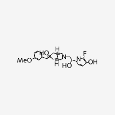 COc1cccc(C[C@@]2(O)C[C@H]3CN(CC(O)c4ccc(O)c(F)n4)C[C@H]3C2)c1